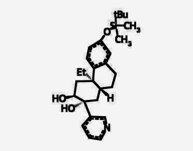 CC[C@@]12C[C@H](O)[C@](O)(c3cccnc3)C[C@H]1CCc1cc(O[Si](C)(C)C(C)(C)C)ccc12